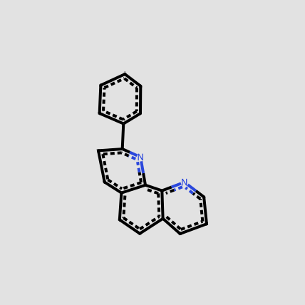 [c]1ccc(-c2ccc3ccc4cccnc4c3n2)cc1